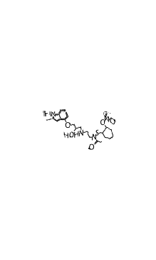 CC(=O)N(CCNCC(O)COc1cccc2[nH]c(C)cc12)SC1CCCCC1O[N+](=O)[O-]